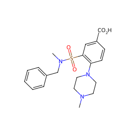 CN1CCN(c2ccc(C(=O)O)cc2S(=O)(=O)N(C)Cc2ccccc2)CC1